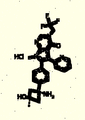 Cl.Cn1c(-c2ccc([C@]3(N)C[C@](C)(O)C3)cc2)c(-c2ccccn2)c2c(=O)n(CC(F)(F)F)cnc21